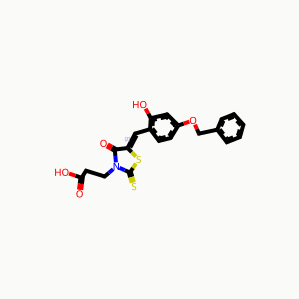 O=C(O)CCN1C(=O)/C(=C/c2ccc(OCc3ccccc3)cc2O)SC1=S